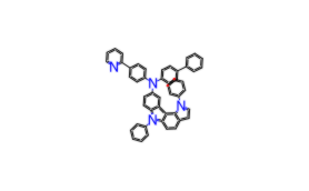 c1ccc(-c2ccc(N(c3ccc(-c4ccccn4)cc3)c3ccc4c(c3)c3c5c(ccc3n4-c3ccccc3)ccn5-c3ccccc3)cc2)cc1